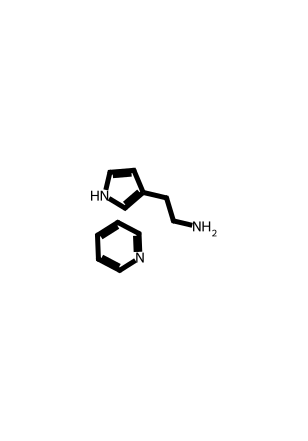 NCCc1cc[nH]c1.c1ccncc1